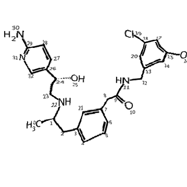 C[C@H](Cc1cccc(CC(=O)NCc2cc(O)cc(Cl)c2)c1)NC[C@@H](O)c1ccc(N)nc1